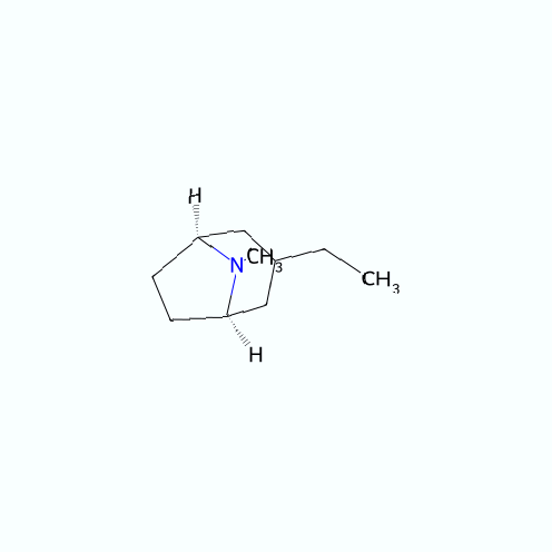 CCC1C[C@H]2CC[C@@H](C1)N2C